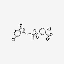 O=[N+]([O-])c1cc(S(=O)(=O)NCCc2c[nH]c3ccc(Cl)cc23)ccc1Cl